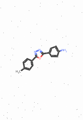 Cc1ccc(-c2nnc(-c3ccc(N)cc3)o2)cc1